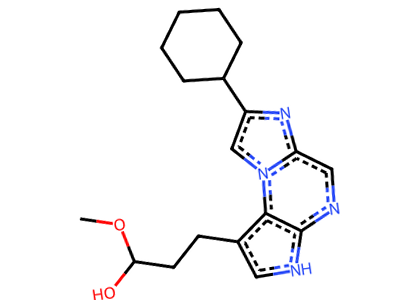 COC(O)CCc1c[nH]c2ncc3nc(C4CCCCC4)cn3c12